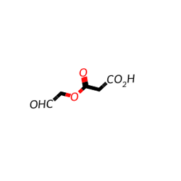 O=CCOC(=O)CC(=O)O